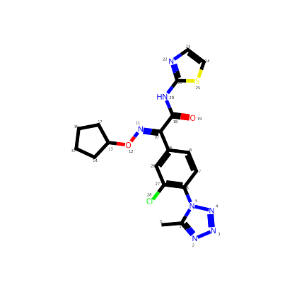 Cc1nnnn1-c1ccc(/C(=N\OC2CCCC2)C(=O)Nc2nccs2)cc1Cl